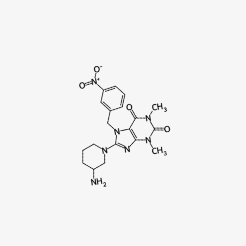 Cn1c(=O)c2c(nc(N3CCCC(N)C3)n2Cc2cccc([N+](=O)[O-])c2)n(C)c1=O